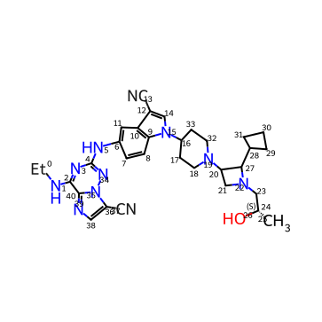 CCNc1nc(Nc2ccc3c(c2)c(C#N)cn3C2CCN(C3CN(C[C@H](C)O)C3C3CCC3)CC2)nn2c(C#N)cnc12